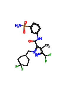 NS(=O)(=O)c1cccc(NC(=O)c2c(C(F)(F)F)c(C(F)F)nn2CC2CCC(F)(F)CC2)c1